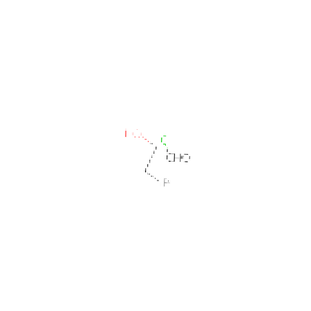 CC(C)CCO.O=CCl